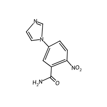 NC(=O)c1cc(-n2ccnc2)ccc1[N+](=O)[O-]